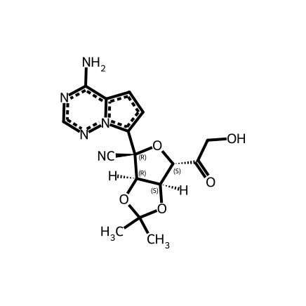 CC1(C)O[C@@H]2[C@@H](C(=O)CO)O[C@@](C#N)(c3ccc4c(N)ncnn34)[C@@H]2O1